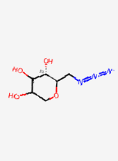 [N-]=[N+]=NCC1OCC(O)C(O)[C@@H]1O